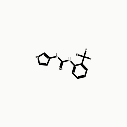 N=C(Nc1cc[nH]c1)Nc1ccccc1C(F)(F)F